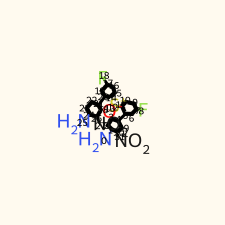 Nc1ccc(-c2cc(F)ccc2[S+]([O-])c2ccc(F)cc2-c2ccc(N)c([N+](=O)[O-])c2)cc1[N+](=O)[O-]